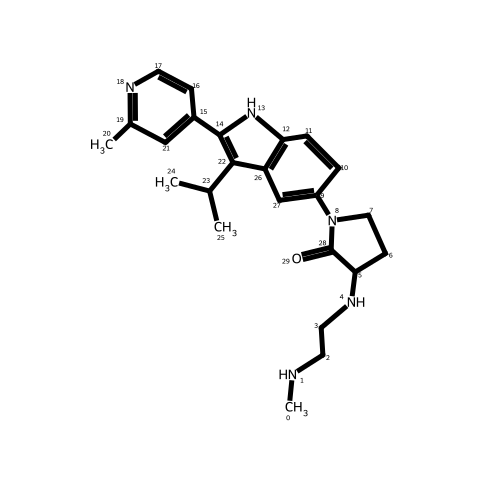 CNCCNC1CCN(c2ccc3[nH]c(-c4ccnc(C)c4)c(C(C)C)c3c2)C1=O